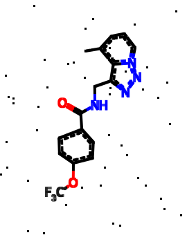 Cc1cccn2nnc(CNC(=O)c3ccc(OC(F)(F)F)cc3)c12